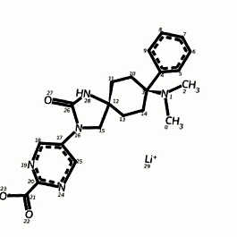 CN(C)[C@]1(c2ccccc2)CC[C@@]2(CC1)CN(c1cnc(C(=O)[O-])nc1)C(=O)N2.[Li+]